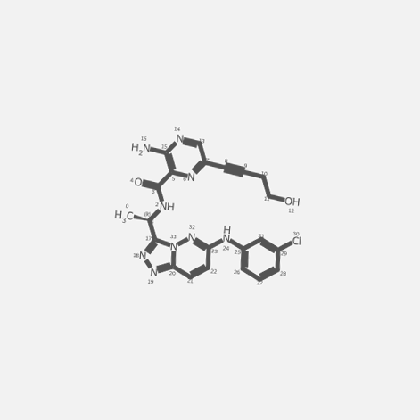 C[C@@H](NC(=O)c1nc(C#CCCO)cnc1N)c1nnc2ccc(Nc3cccc(Cl)c3)nn12